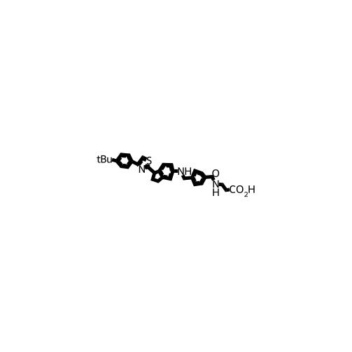 CC(C)(C)c1ccc(-c2csc(C3CCc4cc(NCc5ccc(C(=O)NCCC(=O)O)cc5)ccc43)n2)cc1